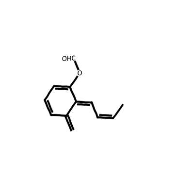 C=c1cccc(OC=O)/c1=C/C=C\C